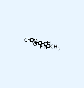 C[C@H]1CC[C@@H]2CC(c3ccc(C(=O)Oc4ccc(Cl)cc4)cc3F)CC[C@H]2C1